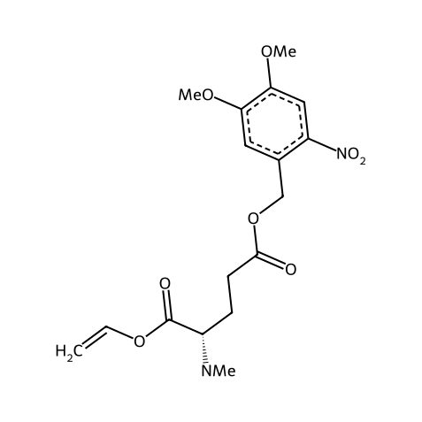 C=COC(=O)[C@H](CCC(=O)OCc1cc(OC)c(OC)cc1[N+](=O)[O-])NC